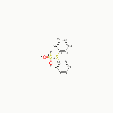 CS(=O)(=O)[S+](c1ccccc1)c1ccccc1